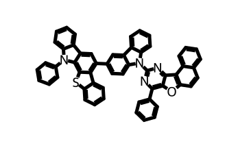 c1ccc(-c2nc(-n3c4ccccc4c4cc(-c5cc6c7ccccc7n(-c7ccccc7)c6c6sc7ccccc7c56)ccc43)nc3c2oc2ccc4ccccc4c23)cc1